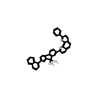 CC1(C)c2cc(-c3ccc4ccc5ccc(-c6ccccc6)nc5c4n3)ccc2-c2ccc(-c3cccc4ccccc34)cc21